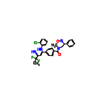 CN(CC(N=O)c1ccccc1)C(=O)c1ccc(/C(=C/C(=N)C(C)(F)F)Nc2ccccc2Cl)cc1